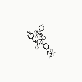 O=C1CN(Cc2ccncc2NS(=O)(=O)N2CCOCC2)C(=O)N1c1ccc(OC(F)(F)F)cc1